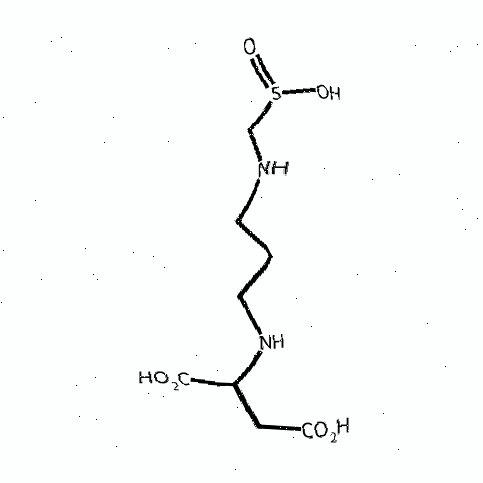 O=C(O)CC(NCCCNCS(=O)O)C(=O)O